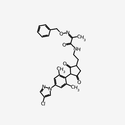 CC(=NOCc1ccccc1)C(=O)NCCC1CC(=O)C(c2c(C)cc(-n3cc(Cl)cn3)cc2C)C1=O